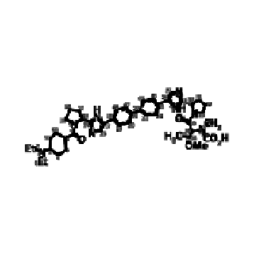 CCN(CC)C1CCC(C(=O)N2CCC[C@H]2c2ncc(-c3ccc(-c4ccc(-c5cnc([C@@H]6CCCN6C(=O)[C@H]([C@@H](C)OC)N(C)C(=O)O)[nH]5)cc4)cc3)[nH]2)CC1